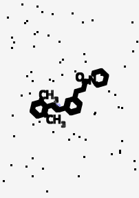 Cc1cccc(C)c1/C=C/c1cccc(CCC(=O)N2CCCCC2)c1